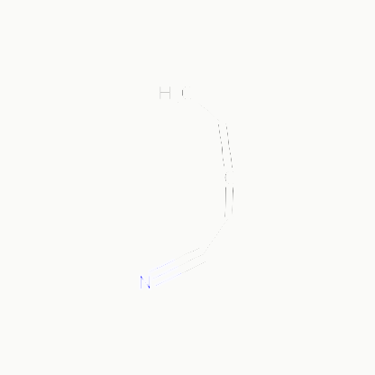 CC=C=CC#N